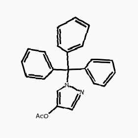 CC(=O)Oc1cnn(C(c2ccccc2)(c2ccccc2)c2ccccc2)c1